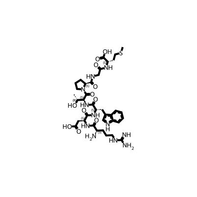 CSCC[C@H](NC(=O)CNC(=O)[C@@H]1CCCN1C(=O)[C@@H](NC(=O)[C@H](Cc1c[nH]c2ccccc12)NC(=O)[C@H](CC(=O)O)NC(=O)[C@@H](N)CCCNC(=N)N)[C@@H](C)O)C(=O)O